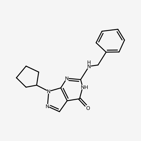 O=c1[nH]c(NCc2ccccc2)nc2c1cnn2C1CCCC1